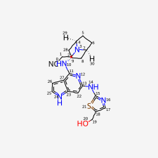 N#CCCN1[C@@H]2CC[C@H]1C[C@H](Nc1nc(Nc3ncc(CO)s3)cc3[nH]ccc13)C2